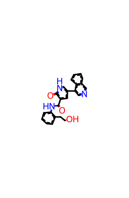 O=C(Nc1ccccc1CCO)c1cc(-c2cncc3ccccc23)c[nH]c1=O